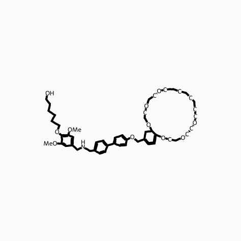 COc1cc(CNCc2ccc(-c3ccc(OCC4=C=C=C5OCCOCCOCCCCCCCCOCCOCCOC5C4)cc3)cc2)cc(OC)c1OCCCCCCO